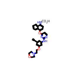 C#Cc1cc(Nc2nccc(Oc3ccc(NC(=O)O)c4ccccc34)n2)cc(OCCN2CCOCC2)c1